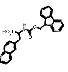 O=C(NC(Cc1ccc2ncccc2c1)C(=O)O)OCC1c2ccccc2-c2ccccc21